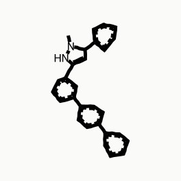 CN1NC(c2cccc(-c3ccc(-c4ccccc4)cc3)c2)=CC1c1ccccc1